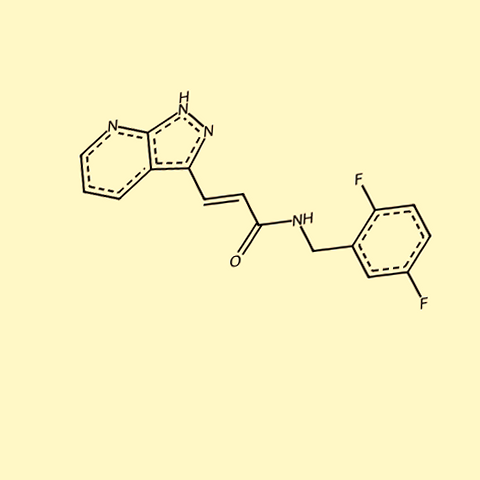 O=C(C=Cc1n[nH]c2ncccc12)NCc1cc(F)ccc1F